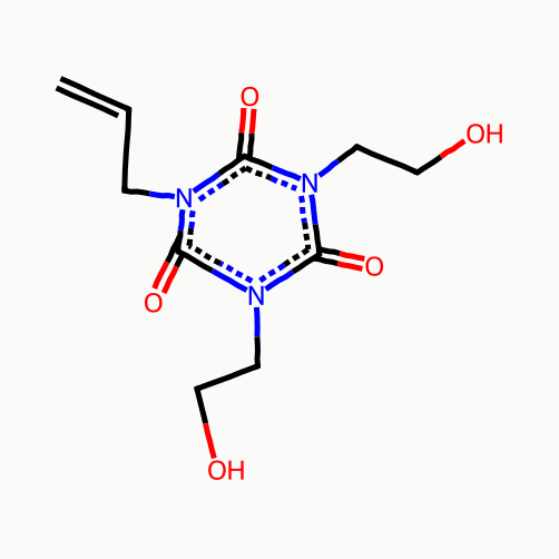 C=CCn1c(=O)n(CCO)c(=O)n(CCO)c1=O